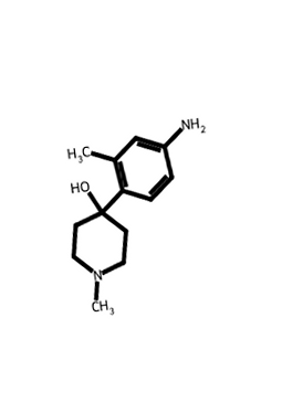 Cc1cc(N)ccc1C1(O)CCN(C)CC1